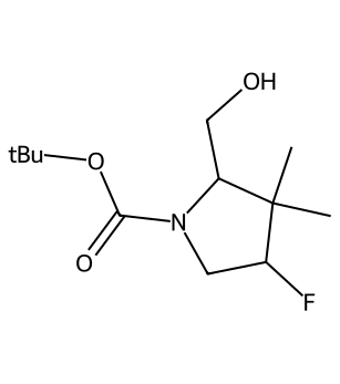 CC(C)(C)OC(=O)N1CC(F)C(C)(C)C1CO